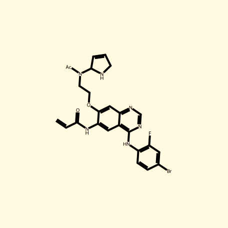 C=CC(=O)Nc1cc2c(Nc3ccc(Br)cc3F)ncnc2cc1OCCN(C(C)=O)C1C=CCN1